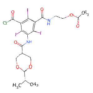 CC(=O)OCCNC(=O)c1c(I)c(NC(=O)C2COC(C(C)C)OC2)c(I)c(C(=O)Cl)c1I